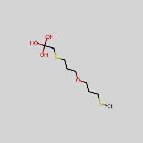 CCSCCCOCCCSCC(O)(O)O